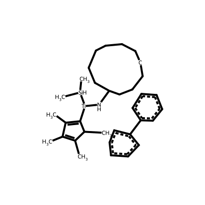 CC1=C(C)C(C)[C]([Ti]([NH]C2CCCCCCCCCC2)[SiH](C)C)=C1C.c1ccc(-c2ccccc2)cc1